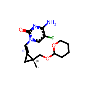 [CH2][C@@]1(COC2CCCCO2)C/C1=C/n1cc(F)c(N)nc1=O